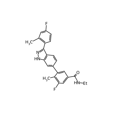 CCNC(=O)c1cc(F)c(C)c(-c2ccc3c(-c4ccc(F)cc4C)n[nH]c3c2)c1